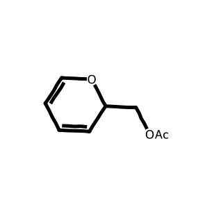 CC(=O)OCC1C=CC=CO1